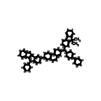 CC1(C)c2ccccc2-c2ccc(N(c3ccc(-c4ccccc4)cc3)c3ccc4c(ccc5cc(-c6ccc7c(c6)c6sc8ccccc8c6n7-c6ccccc6)ccc54)c3)cc21